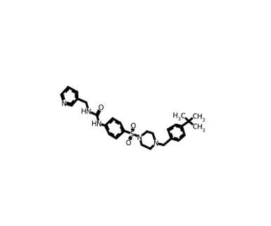 CC(C)(C)c1ccc(CN2CCN(S(=O)(=O)c3ccc(NC(=O)NCc4cccnc4)cc3)CC2)cc1